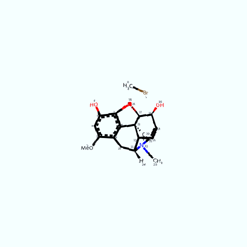 CBr.COc1cc(O)c2c3c1C[C@@H]1[C@@H]4C=C[C@H](O)[C@H](O2)[C@]34CCN1C